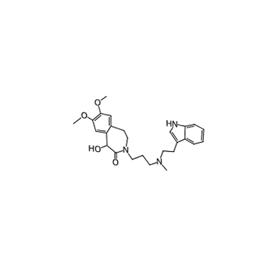 COc1cc2c(cc1OC)C(O)C(=O)N(CCCN(C)CCc1c[nH]c3ccccc13)CC2